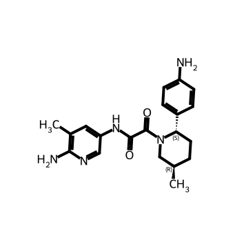 Cc1cc(NC(=O)C(=O)N2C[C@H](C)CC[C@H]2c2ccc(N)cc2)cnc1N